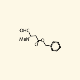 CN[C@H]([C]=O)CC(=O)OCc1ccccc1